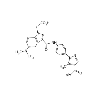 CCCC(=O)c1cnn(-c2ccc(NC(=O)c3cn(CC(=O)O)c4ccc(N(C)C)cc34)cc2)c1C